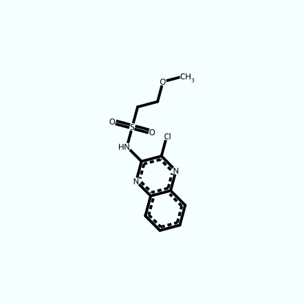 COCCS(=O)(=O)Nc1nc2ccccc2nc1Cl